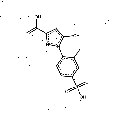 Cc1cc(S(=O)(=O)O)ccc1-n1nc(C(=O)O)[c]c1O